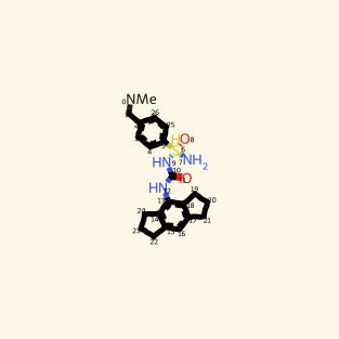 CNCc1ccc([SH](N)(=O)NC(=O)Nc2c3c(cc4c2CCC4)CCC3)cc1